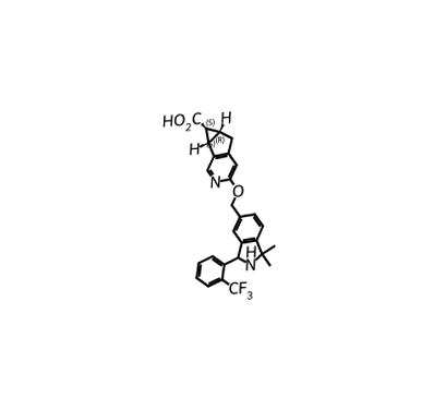 CC1(C)NC(c2ccccc2C(F)(F)F)c2cc(COc3cc4c(cn3)[C@H]3[C@@H](C4)[C@@H]3C(=O)O)ccc21